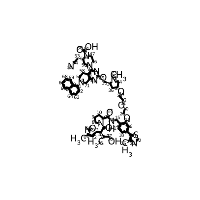 Cc1cc([C@@H](C(=O)N2CCCC2C(=O)NCc2ccc(-c3scnc3C)cc2OCCOCCO[C@@H]2C[C@@H](COc3nc4c(c(N5CCN(C(=O)O)[C@@H](CC#N)C5)n3)CCN(c3cccc5ccccc35)C4)N(C)C2)C(C)CO)on1